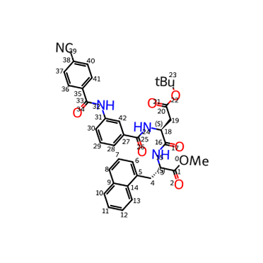 COC(=O)[C@H](Cc1cccc2ccccc12)NC(=O)[C@H](CC(=O)OC(C)(C)C)NC(=O)c1cccc(NC(=O)c2ccc(C#N)cc2)c1